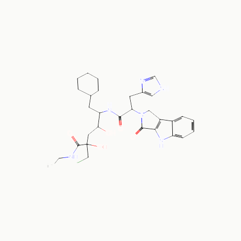 CC(C)CNC(=O)C(O)(CCl)CC(O)C(CC1CCCCC1)NC(=O)C(Cc1c[nH]cn1)N1Cc2c([nH]c3ccccc23)C1=O